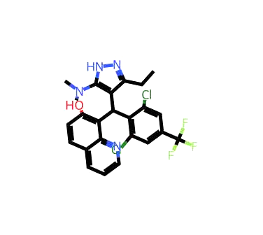 CCc1n[nH]c(N(C)C)c1C(c1c(Cl)cc(C(F)(F)F)cc1Cl)c1c(O)ccc2cccnc12